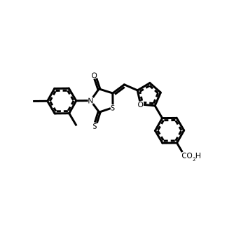 Cc1ccc(N2C(=O)C(=Cc3ccc(-c4ccc(C(=O)O)cc4)o3)SC2=S)c(C)c1